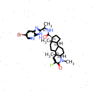 C[C@@H](NC(=O)[C@H]1CC[C@H]2C3CC[C@H]4N(C)C(=O)C(F)=C[C@]4(C)C3CC[C@]12C)c1nc2cc(Br)cnc2[nH]1